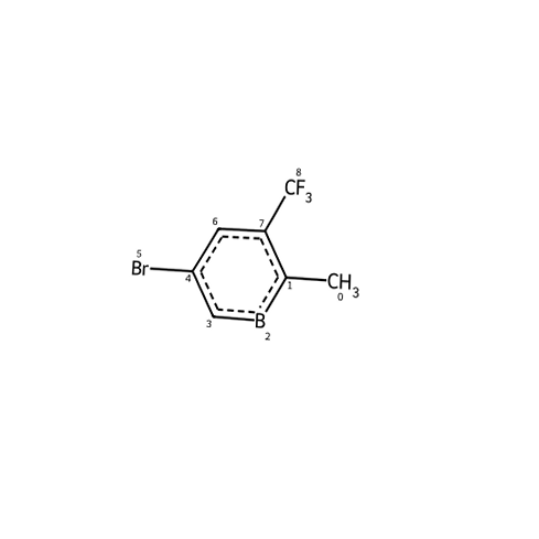 Cc1bcc(Br)cc1C(F)(F)F